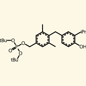 Cc1cc(COP(=O)(OC(C)(C)C)OC(C)(C)C)cc(C)c1Cc1ccc(O)c(C(C)C)c1